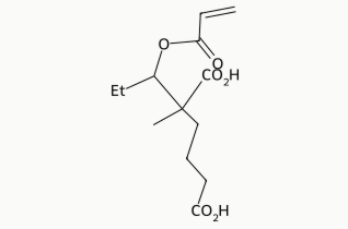 C=CC(=O)OC(CC)C(C)(CCCC(=O)O)C(=O)O